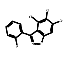 [O]c1cc2onc(-c3ccccc3F)c2c(Cl)c1Cl